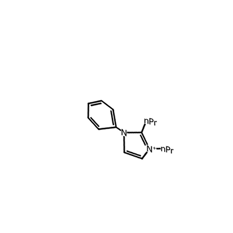 CCCc1n(-c2ccccc2)cc[n+]1CCC